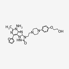 CC1=NC(c2ccco2)=C2C(=NC3N(CCN4CCN(c5ccc(OCCO)cc5)CC4)C(=O)NN23)N1N